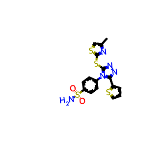 Cc1csc(Sc2nnc(-c3cccs3)n2-c2ccc(S(N)(=O)=O)cc2)n1